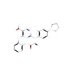 C=CC(=O)Nc1ccccc1Nc1nc(Nc2ccc(N3CCC[C@@H]3C)cc2OC)ncc1C(N)=O